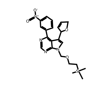 C[Si](C)(C)CCOCn1cc(C2C=CCO2)c2c(-c3cccc([N+](=O)[O-])c3)ncnc21